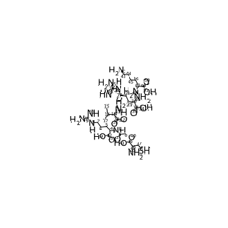 CC(=O)NC(CCCNC(=N)N)C(=O)O.CC(C)C(N)C(=O)O.N=C(N)NCCCC(N)C(=O)O.NC(CS)C(=O)O.NCCCCC(N)C(=O)O